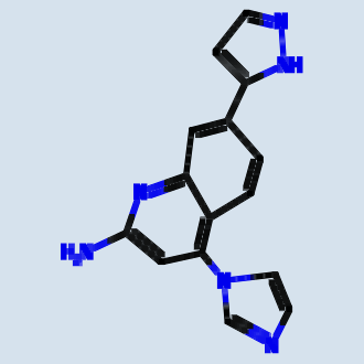 Nc1cc(-n2ccnc2)c2ccc(-c3ccn[nH]3)cc2n1